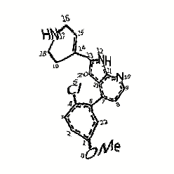 COc1ccc(Cl)c(-c2ccnc3[nH]c(C4=CCNCC4)cc23)c1